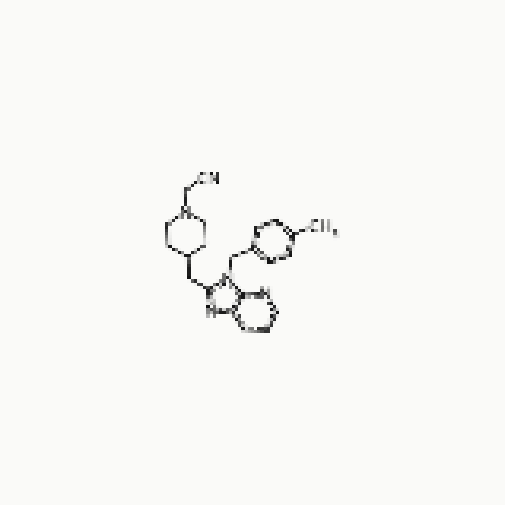 Cc1ccc(Cn2c(CC3CCN(CC#N)CC3)nc3cccnc32)cc1